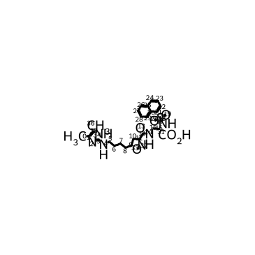 Cc1nc(NCCCCC2CC(C(=O)NCC(NS(=O)(=O)c3cccc4ccccc34)C(=O)O)=NO2)[nH]c1C